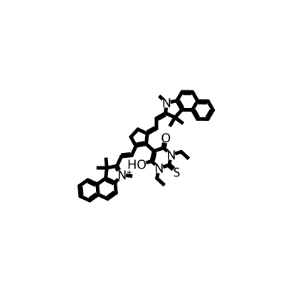 CCn1c(O)c(C2=C(/C=C/C3=[N+](C)c4ccc5ccccc5c4C3(C)C)CC/C2=C\C=C2\N(C)c3ccc4ccccc4c3C2(C)C)c(=O)n(CC)c1=S